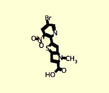 Cn1c(C(=O)O)cc2sc(-c3ncc(Br)cc3[N+](=O)[O-])cc21